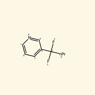 CCCC(F)(F)c1cccnc1